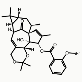 CC1=C[C@]23C(=O)[C@@H](C=C4COC(C)(C)O[C@H]4[C@]2(O)[C@H]1OC(=O)c1ccccc1OC(C)C)[C@H]1[C@@H](C[C@H]3C)C1(C)C